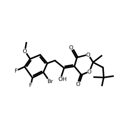 COc1cc(CC(O)=C2C(=O)OC(C)(CC(C)(C)C)OC2=O)c(Br)c(F)c1F